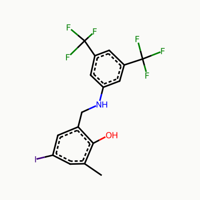 Cc1cc(I)cc(CNc2cc(C(F)(F)F)cc(C(F)(F)F)c2)c1O